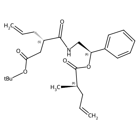 C=CC[C@@H](CC(=O)OC(C)(C)C)C(=O)NC[C@H](OC(=O)[C@H](C)CC=C)c1ccccc1